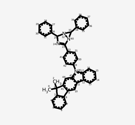 CC1(C)c2ccccc2-c2cc3c4ccccc4n(-c4ccc(C5=NC(c6ccccc6)N6C(c7ccccc7)N56)cc4)c3cc21